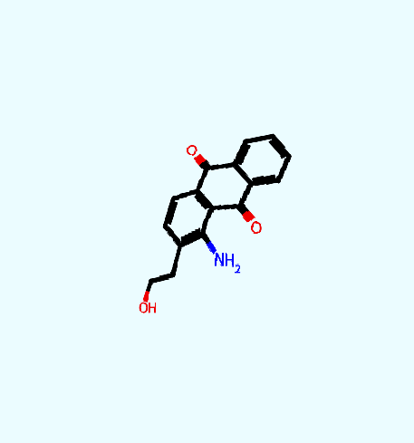 Nc1c(CCO)ccc2c1C(=O)c1ccccc1C2=O